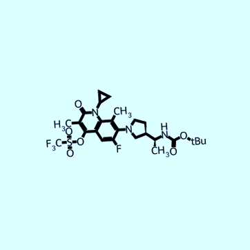 Cc1c(OS(=O)(=O)C(F)(F)F)c2cc(F)c(N3CC[C@@H]([C@H](C)NC(=O)OC(C)(C)C)C3)c(C)c2n(C2CC2)c1=O